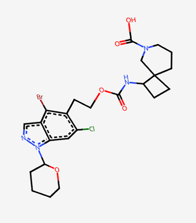 O=C(NC1CCC12CCCN(C(=O)O)C2)OCCc1c(Cl)cc2c(cnn2C2CCCCO2)c1Br